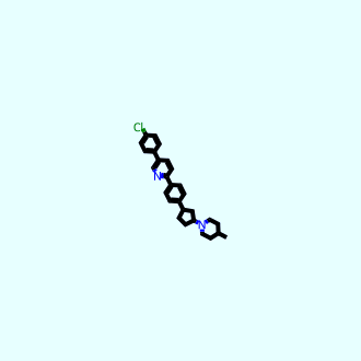 CC1CCN(C2CCC(c3ccc(-c4ccc(-c5ccc(Cl)cc5)cn4)cc3)C2)CC1